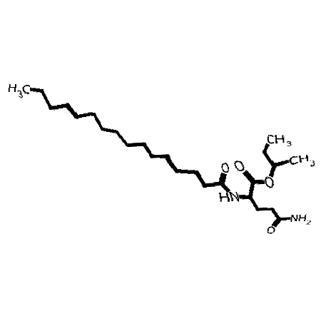 CCCCCCCCCCCCCCCC(=O)NC(CCC(N)=O)C(=O)OC(C)CC